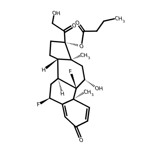 CCCC(=O)O[C@@]1(C(=O)CO)CC[C@H]2[C@@H]3C[C@H](F)C4=CC(=O)C=C[C@]4(C)[C@@]3(F)[C@@H](O)C[C@@]21C